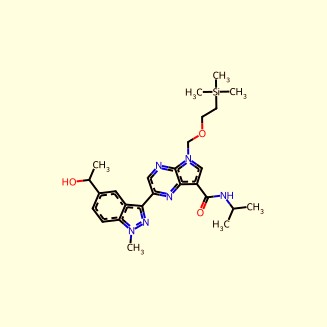 CC(C)NC(=O)c1cn(COCC[Si](C)(C)C)c2ncc(-c3nn(C)c4ccc(C(C)O)cc34)nc12